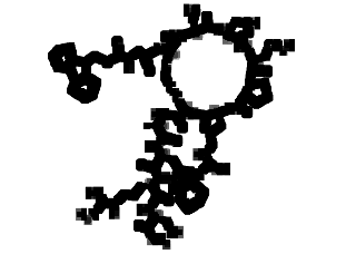 C[C@H](NC(=O)[C@@H]1CCCC[C@H](NC(=O)CNC(=O)OCC2c3ccccc3-c3ccccc32)C(=O)N[C@@H](CS)C(=O)N[C@@H](CO)C(=O)N[C@@H](CC(=O)O)C(=O)N2CCCC2C(=O)N[C@@H](CCCNC(=N)N)C(=O)N1)C(=O)N[C@@H](Cc1cc2ccccc2[nH]1)C(=O)N[C@@H](CCCNC(=N)N)C(=O)N[C@@H](CS)C(N)=O